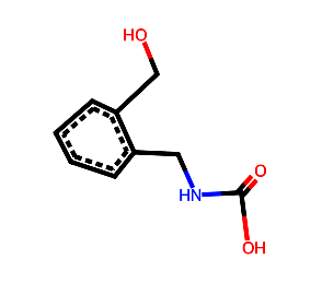 O=C(O)NCc1ccccc1CO